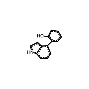 Oc1ccc[c]c1-c1cccc2[nH]ccc12